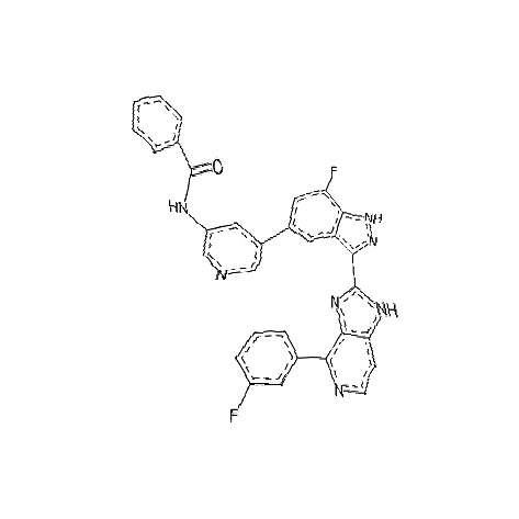 O=C(Nc1cncc(-c2cc(F)c3[nH]nc(-c4nc5c(-c6cccc(F)c6)nccc5[nH]4)c3c2)c1)c1ccccc1